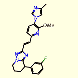 COc1nc(C=Cc2nc3n(n2)CCCC3c2cccc(F)c2)ccc1-n1cnc(C)c1